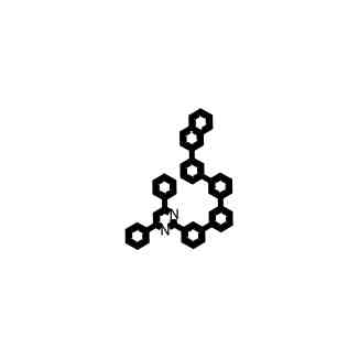 c1ccc(-c2cc(-c3ccccc3)nc(-c3cccc(-c4cccc(-c5cccc(-c6cccc(-c7ccc8ccccc8c7)c6)c5)c4)c3)n2)cc1